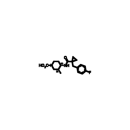 C[C@H]1CN(C(=O)O)CC[C@@H]1NC(=O)C1(Cc2ccc(F)cc2)CC1